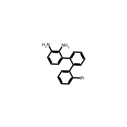 CC(C)c1ccccc1-c1ccccc1-c1cccc(N)c1N